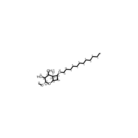 CCCCCCCCCCCCOC1CC2O[C@H](OC)C(O)C(O)[C@@H]12